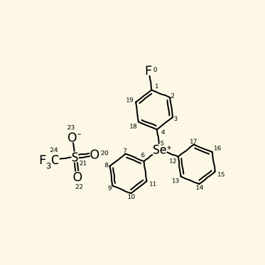 Fc1ccc([Se+](c2ccccc2)c2ccccc2)cc1.O=S(=O)([O-])C(F)(F)F